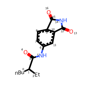 CCCCC(CC)C(=O)Nc1ccc2c(c1)C(=O)NC2=O